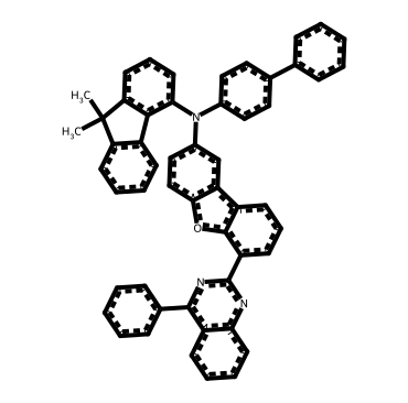 CC1(C)c2ccccc2-c2c(N(c3ccc(-c4ccccc4)cc3)c3ccc4oc5c(-c6nc(-c7ccccc7)c7ccccc7n6)cccc5c4c3)cccc21